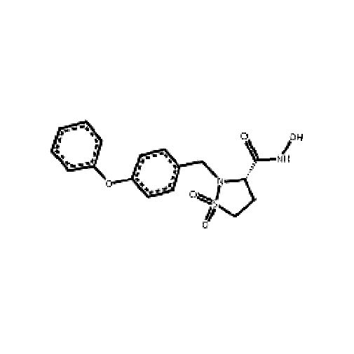 O=C(NO)[C@@H]1CCS(=O)(=O)N1Cc1ccc(Oc2ccccc2)cc1